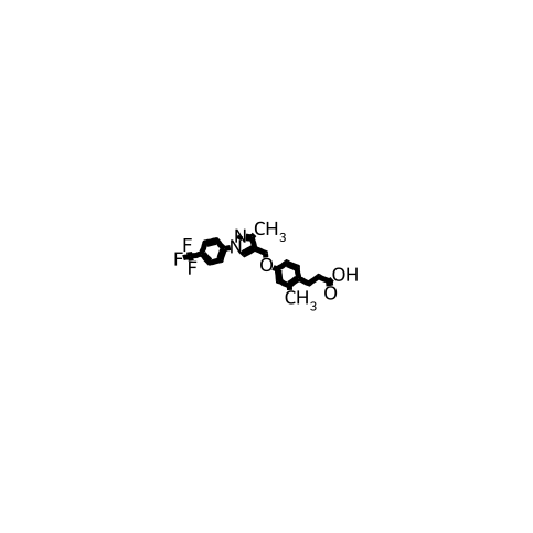 Cc1cc(OCc2cn(-c3ccc(C(F)(F)F)cc3)nc2C)ccc1CCC(=O)O